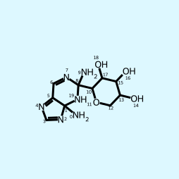 NC12N=CN=C1C=NC(N)(C1OCC(O)C(O)C1O)N2